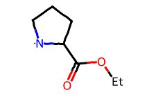 CCOC(=O)C1CCC[N]1